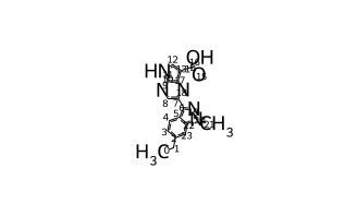 CCc1ccc2c(-c3cnc4[nH]cc(C(=O)O)c4n3)nn(C)c2c1